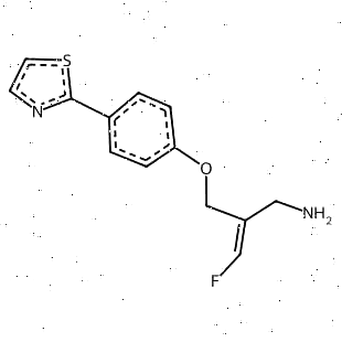 NC/C(=C/F)COc1ccc(-c2nccs2)cc1